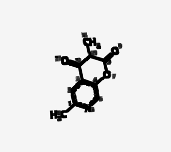 Cc1cc2c(cn1)OC(=O)C(C)C2=O